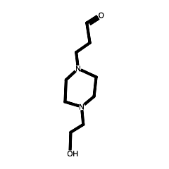 O=CCCN1CCN(CCO)CC1